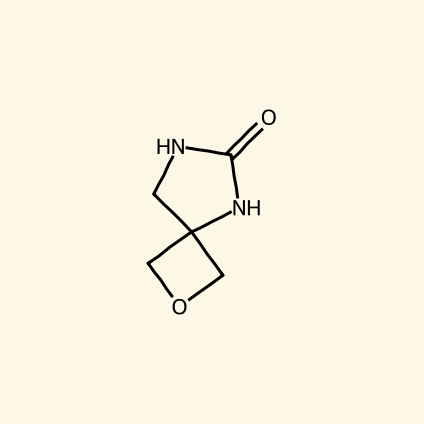 O=C1NCC2(COC2)N1